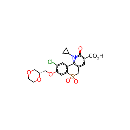 O=C(O)c1cc2c(n(C3CC3)c1=O)-c1cc(Cl)c(OC[C@H]3COCCO3)cc1S(=O)(=O)C2